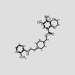 Cc1nccnc1NCCN1CCC(COC(=O)c2cc(Cl)c(N)c3c2OCCO3)CC1